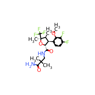 COc1c([C@H]2[C@H](C(=O)NCC(C)(C)C(N)=O)O[C@@](C)(C(F)(F)F)[C@H]2C)ccc(F)c1F